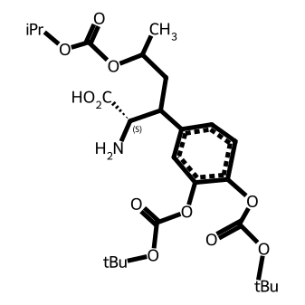 CC(C)OC(=O)OC(C)CC(c1ccc(OC(=O)OC(C)(C)C)c(OC(=O)OC(C)(C)C)c1)[C@H](N)C(=O)O